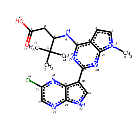 Cn1ccc2c(NC(CC(=O)O)C(C)(C)C)nc(-c3c[nH]c4ncc(Cl)nc34)nc21